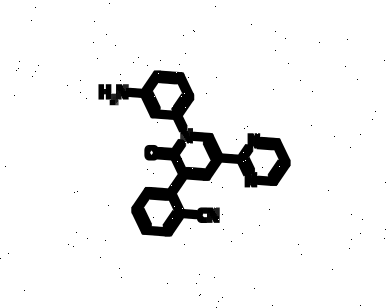 N#Cc1ccccc1-c1cc(-c2ncccn2)cn(-c2cccc(N)c2)c1=O